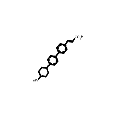 CCCC1CCC(c2ccc(-c3ccc(C=CC(=O)O)cc3)cc2)CC1